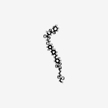 C=CC(=O)OCCCCOC(=O)Oc1ccc(/C=C/c2ccc(-c3ccc(OCCOC(=O)C(=C)CC(=O)OC4CCCCC4)cc3)cc2)cc1